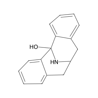 OC12NC(Cc3ccccc31)Cc1ccccc12